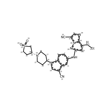 CCNc1nc(Nc2ccc3c(c2)c(C#N)cn3C2CCN([C@@H]3CCS(=O)(=O)C3)CC2)nn2c(C#N)cnc12